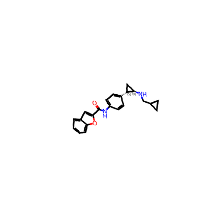 O=C(Nc1ccc([C@@H]2C[C@H]2NCC2CC2)cc1)c1cc2ccccc2o1